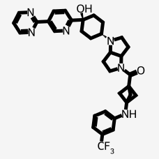 O=C(N1CCC2C1CCN2[C@H]1CC[C@@](O)(c2ccc(-c3ncccn3)cn2)CC1)C12CC(Nc3cccc(C(F)(F)F)c3)(C1)C2